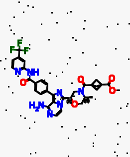 COC(=O)C12CC(C(=O)N3C[C@H](c4nc(-c5ccc(C(=O)Nc6cc(C(F)(F)F)ccn6)cc5)c5c(N)nccn45)OC[C@@H]3C)(C1)C2